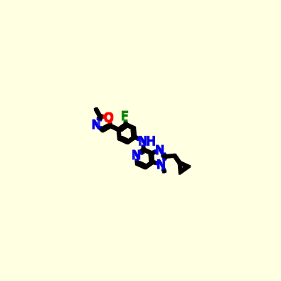 Cc1ncc(-c2ccc(Nc3nccc4c3nc(CC3CC3)n4C)cc2F)o1